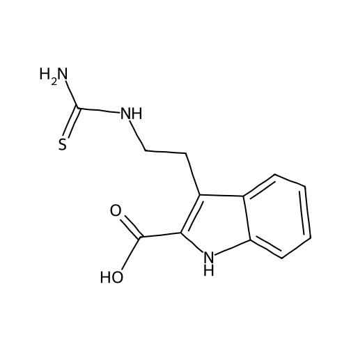 NC(=S)NCCc1c(C(=O)O)[nH]c2ccccc12